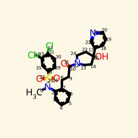 CN(c1ccccc1CCC(=O)N1CCC(O)(c2cccnc2)CC1)S(=O)(=O)c1ccc(Cl)c(Cl)c1